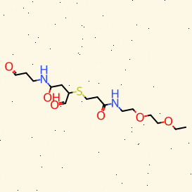 CCOCCOCCNC(=O)CCSC(C=O)CC(O)NCCC=O